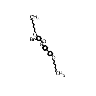 CCCCCCCCCOc1ccc(C(=O)Oc2ccc(-c3ccc(OCCCCCCCC)cc3)cc2)cc1Br